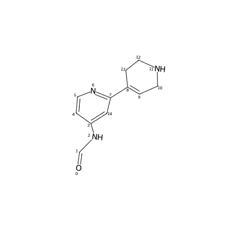 O=CNc1ccnc(C2=CCNCC2)c1